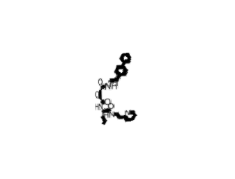 CCC[C@H](NC(=O)[C@@H]1O[C@H]1C(=O)NCCc1ccc(-c2ccccc2)cc1)C(=O)NCCC1=CCCC=N1